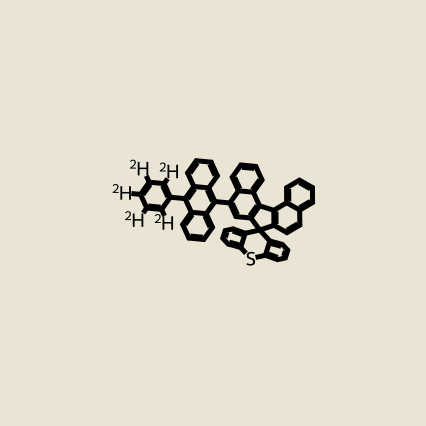 [2H]c1c([2H])c([2H])c(-c2c3ccccc3c(-c3cc4c(c5ccccc35)-c3c(ccc5ccccc35)C43c4ccccc4Sc4ccccc43)c3ccccc23)c([2H])c1[2H]